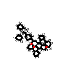 C1=CCCC(c2ccccc2-c2c3ccccc3c(-c3ccccc3-c3ccccc3)c3cc(-c4ccc(-c5nc6ccccc6n5-c5ccccc5)cc4)ccc23)=C1